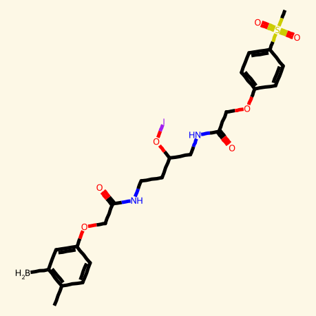 Bc1cc(OCC(=O)NCCC(CNC(=O)COc2ccc(S(C)(=O)=O)cc2)OI)ccc1C